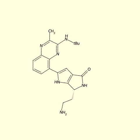 Cc1nc2cccc(-c3cc4c([nH]3)[C@@H](CCN)NC4=O)c2nc1NC(C)(C)C